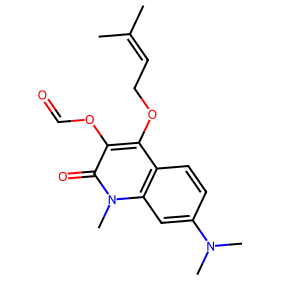 CC(C)=CCOc1c(OC=O)c(=O)n(C)c2cc(N(C)C)ccc12